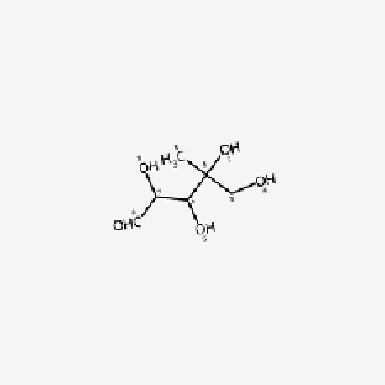 CC(O)(CO)C(O)C(O)C=O